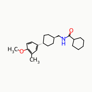 COc1ccc([C@H]2CC[C@H](CNC(=O)C3CCCCC3)CC2)cc1C